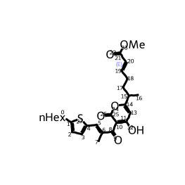 CCCCCCc1ccc(C=C(C)C(=O)c2c(O)cc(C(C)CC/C=C/C(=O)OC)oc2=O)s1